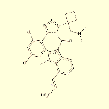 Cc1cn(C(=O)c2c(-c3c(Cl)cc(Cl)cc3Cl)noc2C2(CN(C)C)CCC2)c2cccc(/C=C/C(=O)O)c12